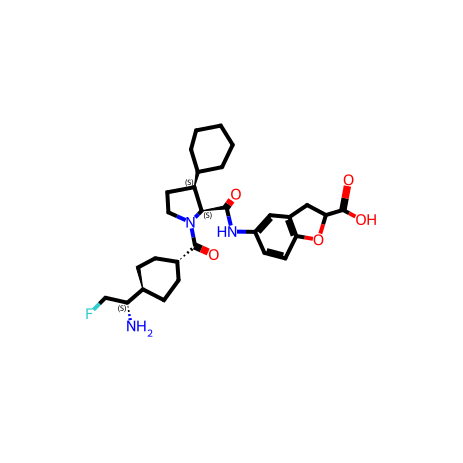 N[C@H](CF)[C@H]1CC[C@H](C(=O)N2CC[C@@H](C3CCCCC3)[C@H]2C(=O)Nc2ccc3c(c2)CC(C(=O)O)O3)CC1